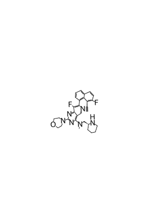 C#Cc1c(F)ccc2cccc(-c3ncc4c(N(C)C[C@@H]5CCCCN5)nc(N5CCOCC5)nc4c3F)c12